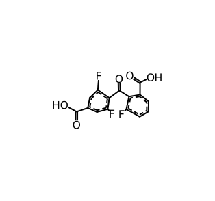 O=C(O)c1cc(F)c(C(=O)c2c(F)cccc2C(=O)O)c(F)c1